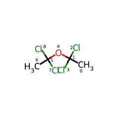 CC(Cl)(Cl)OC(C)(Cl)Cl